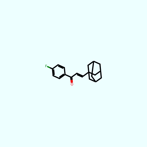 O=C(C=CC12CC3CC(CC(C3)C1)C2)c1ccc(F)cc1